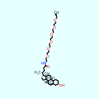 C#CCOCCOCCOCCOCCOCCOCCNC(=O)CC[C@@H](C)[C@H]1CC[C@H]2[C@@H]3CC=C4C[C@@H](O)CC[C@]4(C)[C@H]3CC[C@]12C